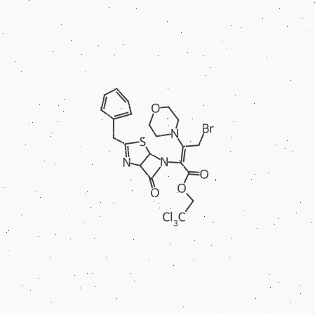 O=C(OCC(Cl)(Cl)Cl)C(=C(CBr)N1CCOCC1)N1C(=O)C2N=C(Cc3ccccc3)SC21